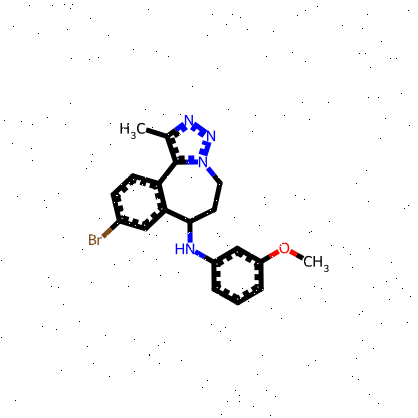 COc1cccc(NC2CCn3nnc(C)c3-c3ccc(Br)cc32)c1